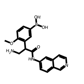 COc1ccc(B(O)O)cc1C(CN)C(=O)Nc1ccc2cnccc2c1